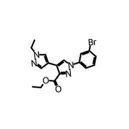 CCOC(=O)c1nn(-c2cccc(Br)c2)cc1-c1cnn(CC)c1